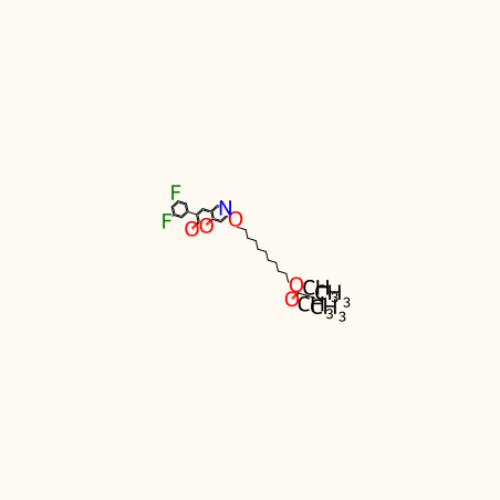 CC(C)C(C)(C)C(=O)OCCCCCCCCCCCOc1cc2oc(=O)c(-c3cc(F)cc(F)c3)cc2cn1